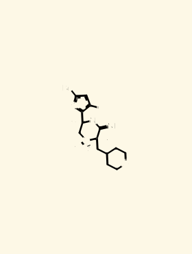 C[C@@]1(c2sc(Br)cc2Cl)CS(=O)(=O)[C@](C)(CC2CCOCC2)C(=N)N1